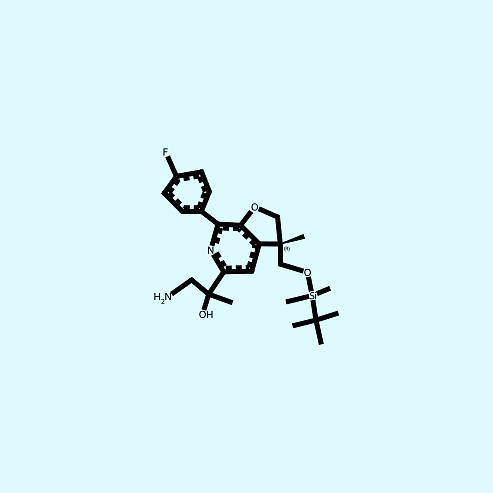 CC(O)(CN)c1cc2c(c(-c3ccc(F)cc3)n1)OC[C@]2(C)CO[Si](C)(C)C(C)(C)C